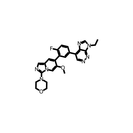 CCn1cnc2c(-c3ccc(F)c(-c4cc5cnc(N6CCOCC6)n5cc4OC)c3)cnnc21